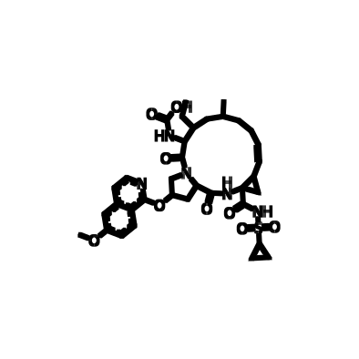 CCC1CC(C)CCC=CC2CC2(C(=O)NS(=O)(=O)C2CC2)NC(=O)C2CC(Oc3nccc4cc(OC)ccc34)CN2C(=O)C1NC(=O)O